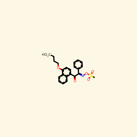 CS(=O)(=O)O/N=C(/C(=O)c1ccc(OCCCC(=O)O)c2ccccc12)c1ccccc1